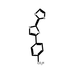 O=C(O)c1ccc(C2=CSC(=C3SC=CS3)S2)cc1